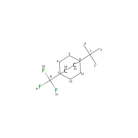 CC(C)(C)C12CCC(C(F)(F)F)(CC1)CC2